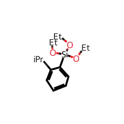 CCO[Si](OCC)(OCC)c1ccccc1C(C)C